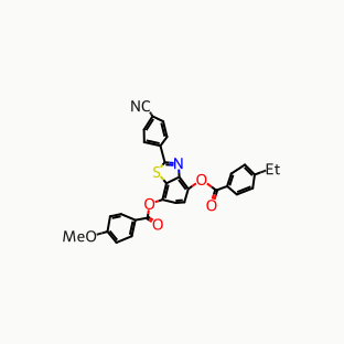 CCc1ccc(C(=O)Oc2ccc(OC(=O)c3ccc(OC)cc3)c3sc(-c4ccc(C#N)cc4)nc23)cc1